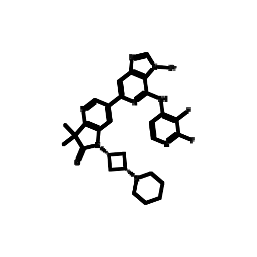 CC(C)n1cnc2cc(-c3cnc4c(c3)N([C@H]3C[C@@H](N5CCCCC5)C3)C(=O)C4(C)C)nc(Nc3ccnc(F)c3F)c21